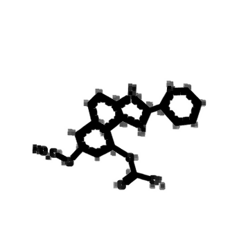 O=C(O)Oc1cc(OC(=O)C(F)(F)F)c2c(ccc3[nH]c(-c4ccccn4)nc32)c1